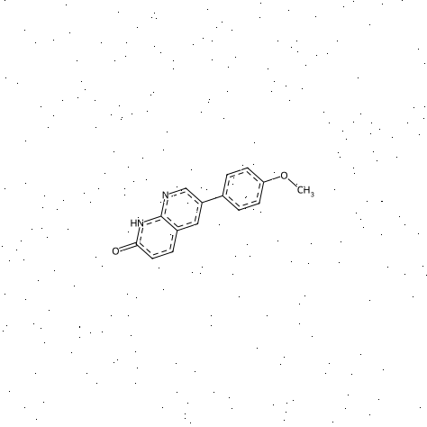 COc1ccc(-c2cnc3[nH]c(=O)ccc3c2)cc1